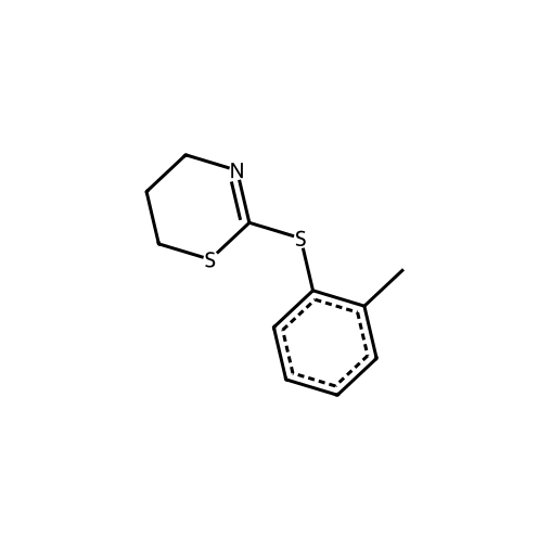 Cc1ccccc1SC1=NCCCS1